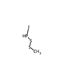 CSSPI